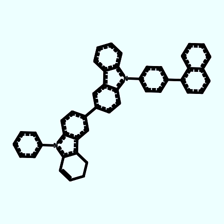 C1=Cc2c(c3cc(-c4ccc5c(c4)c4ccccc4n5-c4ccc(-c5cccc6ccccc56)cc4)ccc3n2-c2ccccc2)CC1